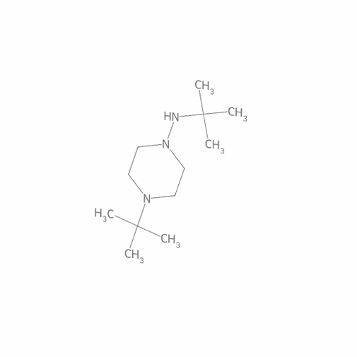 CC(C)(C)NN1CCN(C(C)(C)C)CC1